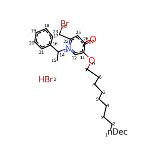 Br.CCCCCCCCCCCCCCCCCCOc1cn(C(C)c2ccccc2)c(CBr)cc1=O